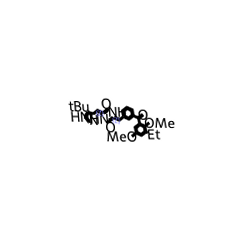 CCc1cc(OC)cc(C(=O)c2cccc(/C=c3\[nH]c(=O)/c(=C/c4nc[nH]c4C(C)(C)C)[nH]c3=O)c2)c1OC